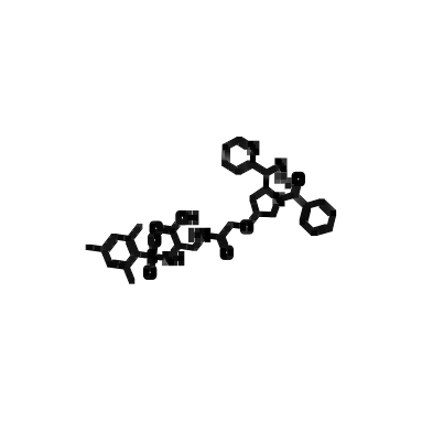 Cc1cc(C)c(S(=O)(=O)NC(CNC(=O)COC2CC(C(N)c3ccccn3)N(C(=O)c3ccccc3)C2)C(=O)O)c(C)c1